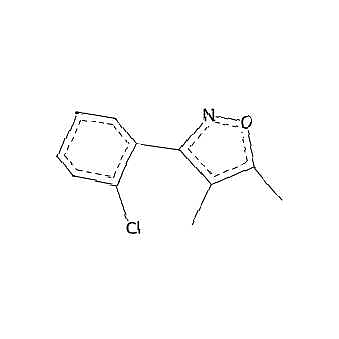 Cc1onc(-c2ccccc2Cl)c1C